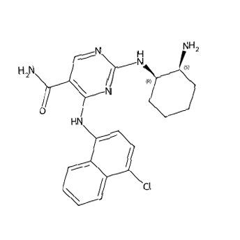 NC(=O)c1cnc(N[C@@H]2CCCC[C@@H]2N)nc1Nc1ccc(Cl)c2ccccc12